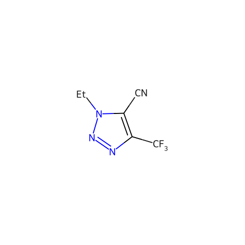 CCn1nnc(C(F)(F)F)c1C#N